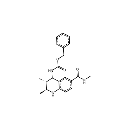 CNC(=O)c1ccc2c(c1)C(NC(=O)OCc1ccccc1)[C@@H](C)[C@H](C)N2